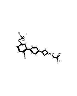 O=C(O)CO[C@H]1C[C@@H](c2ccc(-c3cc(OC(F)(F)F)ccc3F)cc2)C1